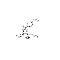 CCCCC(C)(CO)OS(=O)(=O)c1ccc(C)cc1